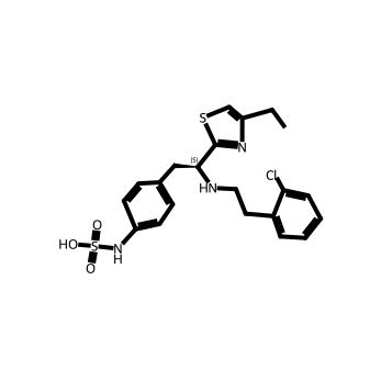 CCc1csc([C@H](Cc2ccc(NS(=O)(=O)O)cc2)NCCc2ccccc2Cl)n1